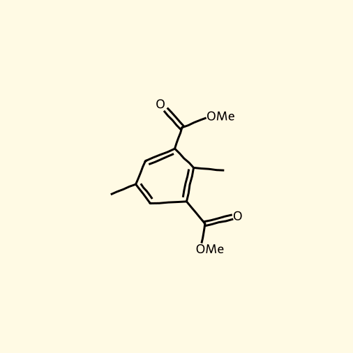 COC(=O)c1cc(C)cc(C(=O)OC)c1C